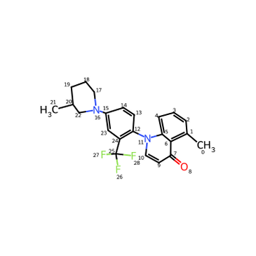 Cc1cccc2c1c(=O)ccn2-c1ccc(N2CCCC(C)C2)cc1C(F)(F)F